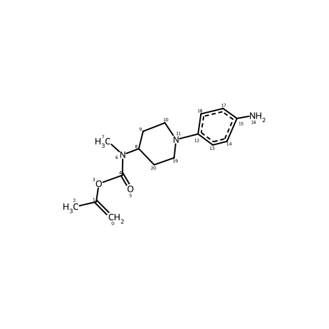 C=C(C)OC(=O)N(C)C1CCN(c2ccc(N)cc2)CC1